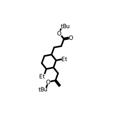 C=C(CC1C(CC)CCC(CCC(=O)OC(C)(C)C)C1CC)OC(C)(C)C